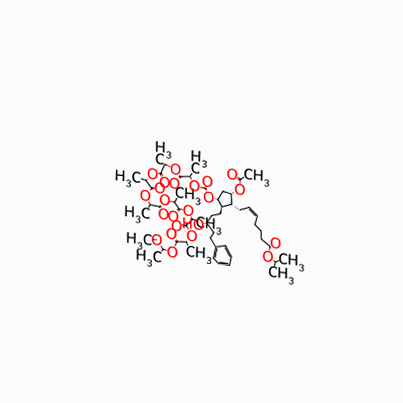 COC(C)OC(=O)C(C)OC(=O)C(C)OC(=O)C(C)OC(=O)C(C)OC(=O)C(C)OC(=O)C(C)OC(=O)C(C)OC(=O)O[C@@H]1C[C@H](OC(C)=O)[C@H](C/C=C\CCCC(=O)OC(C)C)[C@H]1CC[C@@H](O)CCc1ccccc1